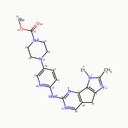 CCn1c(C)nc2c1-c1nc(Nc3ccc(N4CCN(C(=O)OC(C)(C)C)CC4)cn3)ncc1C2